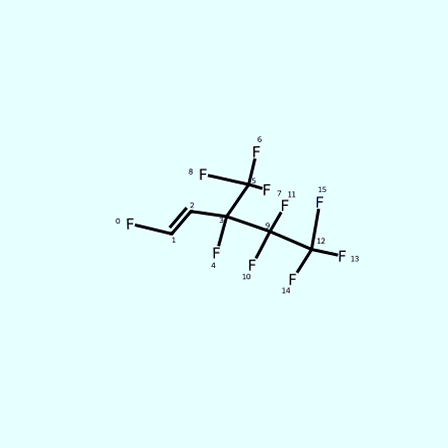 FC=CC(F)(C(F)(F)F)C(F)(F)C(F)(F)F